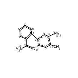 Cc1ccc(-c2ncccc2C(N)=O)cc1N